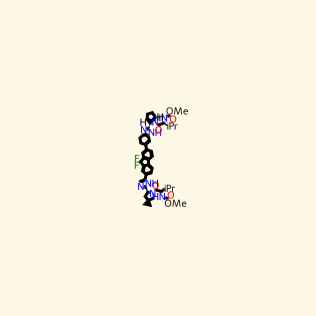 COC(=O)NC(C(=O)N1CC2(CC2)C[C@H]1c1ncc(-c2ccc3c(c2)C(F)(F)c2cc(C4=Cc5[nH]c([C@@H]6[C@H]7CC[C@H](C7)N6C(=O)[C@@H](NC(=O)OC)C(C)C)nc5CC4)ccc2-3)[nH]1)C(C)C